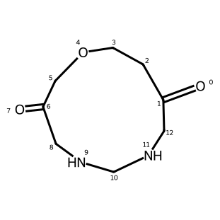 O=C1CCOCC(=O)CNCNC1